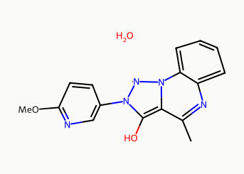 COc1ccc(N2[N]N3C(=C2O)C(C)=Nc2ccccc23)cn1.O